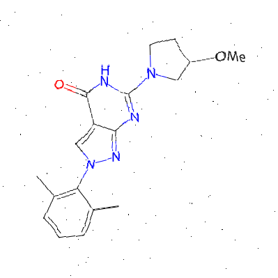 COC1CCN(c2nc3nn(-c4c(C)cccc4C)cc3c(=O)[nH]2)C1